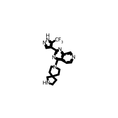 FC(F)(F)c1[nH]ncc1-c1nc(N2CCC3(CCNC3)CC2)c2ccncc2n1